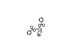 O=C(OCC1C(OC(=O)c2ccccc2)CSC1CBr)c1ccccc1